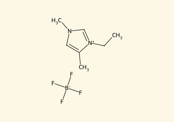 CC[n+]1cn(C)cc1C.F[B-](F)(F)F